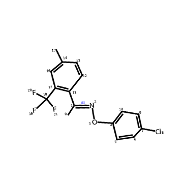 C/C(=N\Oc1ccc(Cl)cc1)c1ccc(C)cc1C(F)(F)F